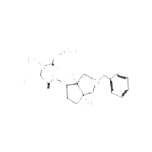 CC(C)[C@@H](C(=O)N[C@@H]1CC[C@H]2CN(Cc3ccccc3)C[C@H]21)N(C)C(=O)OC(C)(C)C